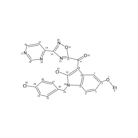 CCOc1ccc2c(c1)c(C(=O)c1nc(-c3ccncn3)no1)c(Cl)n2Cc1ccc(Cl)cc1